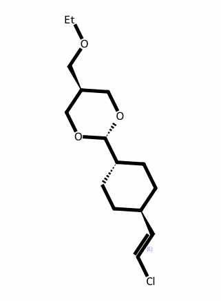 CCOC[C@H]1CO[C@H]([C@H]2CC[C@H](/C=C/Cl)CC2)OC1